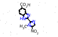 Cn1c([N+](=O)[O-])cnc1-c1nc2cc(C(=O)O)ccc2[nH]1